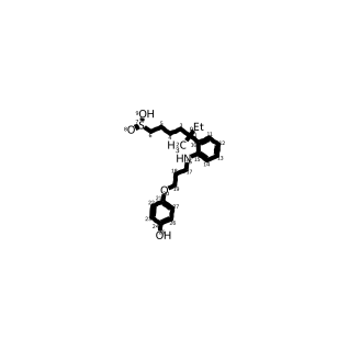 CCC(C)(CCCCS(=O)O)c1ccccc1NCCCOc1ccc(O)cc1